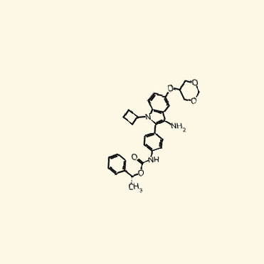 C[C@@H](OC(=O)Nc1ccc(-c2c(N)c3cc(OC4COCOC4)ccc3n2C2CCC2)cc1)c1ccccc1